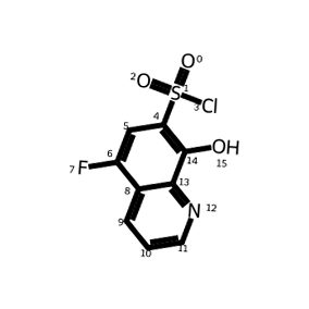 O=S(=O)(Cl)c1cc(F)c2cccnc2c1O